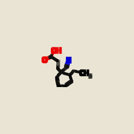 CCC1C=CC=CC1(C#N)/C=C/C(=O)O